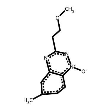 COCCc1nc2cc(C)ccc2[n+]([O-])n1